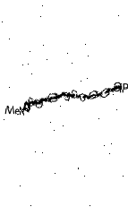 CNc1ccc(OCCOCCOCCOCCOCCOCCOCCOCCOC(C)C)cc1